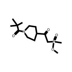 COP(C)(=O)CC(=O)C1CCN(C(=O)C(C)(C)C)CC1